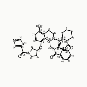 O=C(O)[C@H]1CCCC[C@H]1C(=O)N1CCc2c(Br)ccc(OC3CCN(C(=O)c4cncs4)C3)c2[C@H]1CN1C(=O)c2ccccc2C1=O